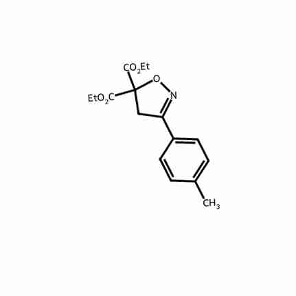 CCOC(=O)C1(C(=O)OCC)CC(c2ccc(C)cc2)=NO1